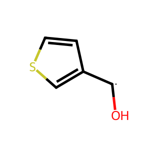 O[CH]c1ccsc1